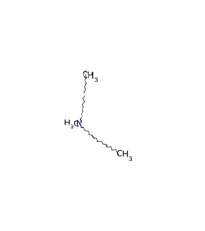 CCCCCCCCCCCCCCCCC=CN(C)C=CCCCCCCCCCCCCCCCC